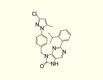 Cc1cc(Cl)nn1-c1ccc(Cn2c(=O)[nH]c3cnc(-c4ccccc4C(C)C)nc32)cc1